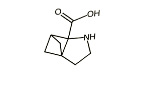 O=C(O)C12NCCC13CC2C3